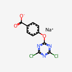 O=C([O-])c1ccc(Oc2nc(Cl)nc(Cl)n2)cc1.[Na+]